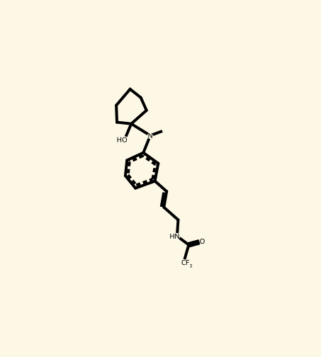 CN(c1cccc(/C=C/CNC(=O)C(F)(F)F)c1)C1(O)CCCCC1